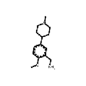 COc1ccc(C2CCN(C)CC2)cc1CN